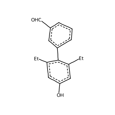 CCc1cc(O)cc(CC)c1-c1cccc(C=O)c1